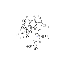 CCc1c(C)c2c(c(OS(=O)(=O)C(F)(F)F)c1C/C=C(\C)CCC(=O)O)C(=O)OC2